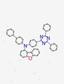 c1ccc(-c2ccc(N(c3ccc(-c4nc(-c5ccccc5)nc(-c5ccccc5)n4)cc3)c3cccc4oc5ccccc5c34)cc2)cc1